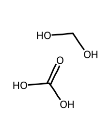 O=C(O)O.OCO